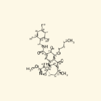 CCCCOc1c2n(cc(C(=O)NCc3c(F)cc(F)cc3F)c1=O)[C@@H]1CN(C2=O)[C@@H](C)CC[C@@]12ON=C(OC)[C@@H]2F